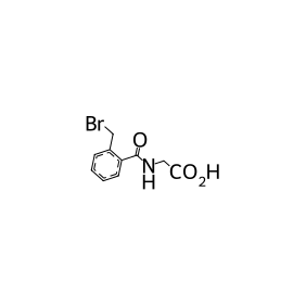 O=C(O)CNC(=O)c1ccccc1CBr